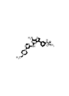 CCN1CCN(c2cc(Nc3nc(N)c4scc(-c5cccc(NS(C)(=O)=O)c5)c4n3)ncn2)CC1